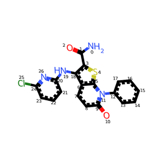 NC(=O)c1sc2c(ccc(=O)n2-c2ccccc2)c1Nc1cccc(Cl)n1